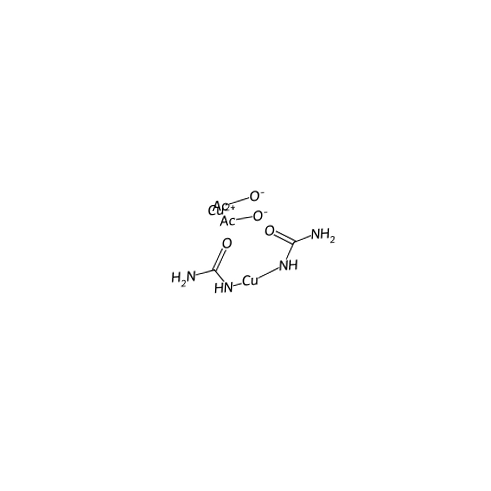 CC(=O)[O-].CC(=O)[O-].NC(=O)[NH][Cu][NH]C(N)=O.[Cu+2]